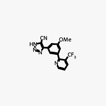 COc1cc(-c2ncccc2C(F)(F)F)cc(-c2nn[nH]c2C#N)c1